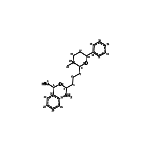 CCCCC(OC(N)CCCC1OC(c2ccccc2)CCN1C)c1ccccc1